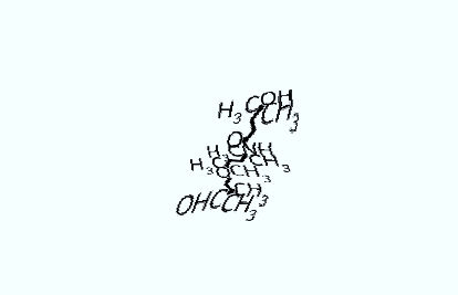 CC(C)(O)CCC(=O)NC(C)(C)CCC(C)(C)OCCC(C)(C)C=O